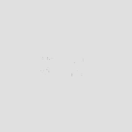 CC(=O)Nc1cc(SC(F)(F)C(F)Cl)ccc1[N+](=O)[O-]